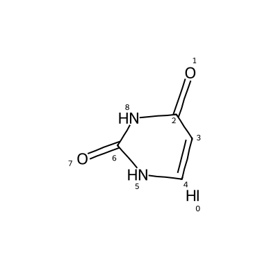 I.O=c1cc[nH]c(=O)[nH]1